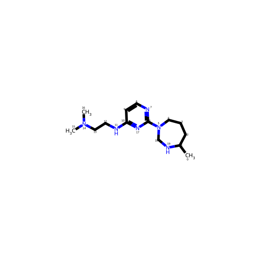 CC1CCCN(c2nccc(NCCN(C)C)n2)CN1